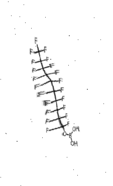 OB(O)OC(F)(F)C(F)(F)C(F)(F)C(F)(F)C(F)(F)C(F)(F)C(F)(F)C(F)(F)C(F)(F)C(F)(F)F